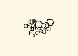 COC1(C(Cl)(Cl)Cl)NN(C(Cl)(Cl)Cl)NC=C1c1ccccc1